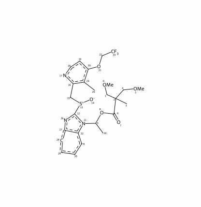 COCC(C)(COC)C(=O)OC(C)n1c([S+]([O-])Cc2nccc(OCC(F)(F)F)c2C)nc2ccccc21